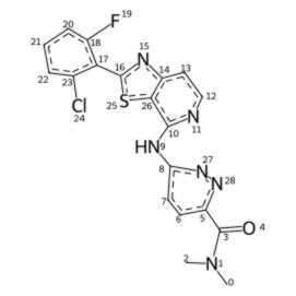 CN(C)C(=O)c1ccc(Nc2nccc3nc(-c4c(F)cccc4Cl)sc23)nn1